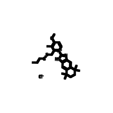 CCCSSCc1c(C)c(OC)cc[n+]1-c1nc2cc3c(cc2[nH]1)C(C)(C)CCC3(C)C.[Cl-]